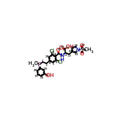 CP(CCc1cc(Cl)c(C(=O)NC(Cc2ccn(S(C)(=O)=O)c2)C(=O)O)c(Cl)c1)c1cccc(O)c1